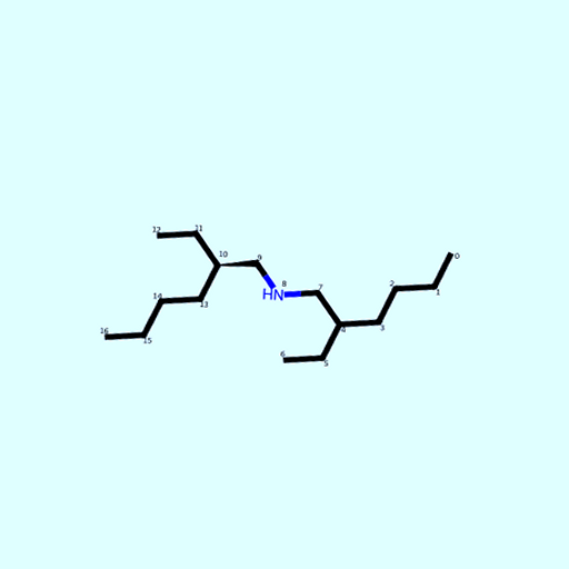 CCCCC(CC)CNC[C@H](CC)CCCC